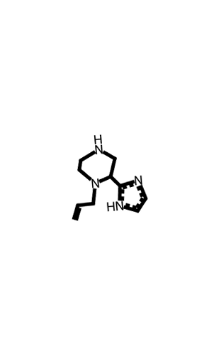 C=CCN1CCNCC1c1ncc[nH]1